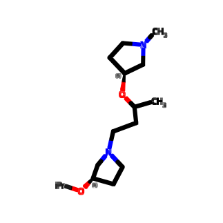 CC(C)O[C@@H]1CCN(CCC(C)O[C@H]2CCN(C)C2)C1